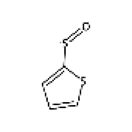 O=[S]c1cccs1